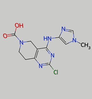 Cn1cnc(Nc2nc(Cl)nc3c2CN(C(=O)O)CC3)c1